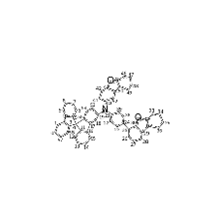 c1ccc(C2(c3ccccc3)c3ccccc3-c3cc(N(c4ccc(-c5cccc6c5oc5ccccc56)cc4)c4ccc5oc6ccccc6c5c4)ccc32)cc1